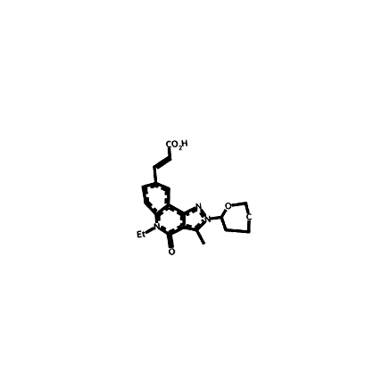 CCn1c(=O)c2c(C)n(C3CCCCO3)nc2c2cc(C=CC(=O)O)ccc21